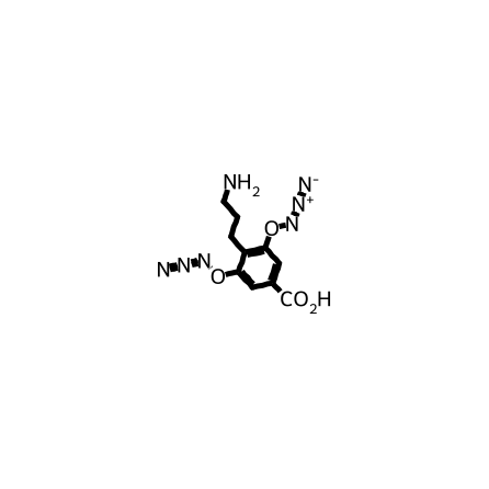 [N-]=[N+]=NOc1cc(C(=O)O)cc(ON=[N+]=[N-])c1CCCN